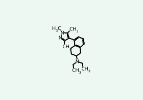 CCN(CC)C1CCc2c(cccc2-c2c(C)nn(C)c2C)C1